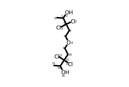 CC(O)C(Cl)(Cl)CCOCCC(Cl)(Cl)C(C)O